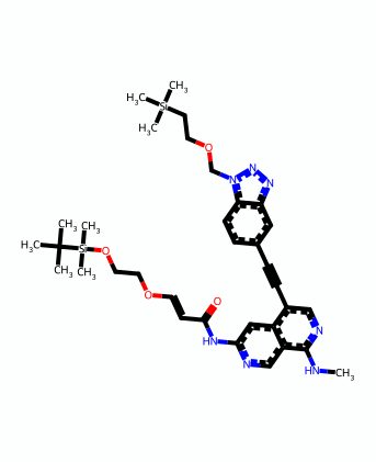 CNc1ncc(C#Cc2ccc3c(c2)nnn3COCC[Si](C)(C)C)c2cc(NC(=O)C=COCCO[Si](C)(C)C(C)(C)C)ncc12